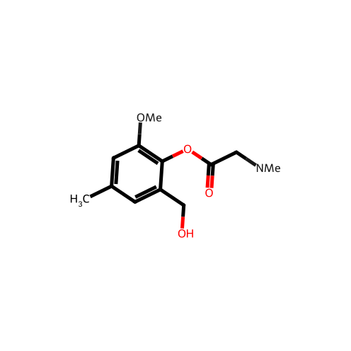 CNCC(=O)Oc1c(CO)cc(C)cc1OC